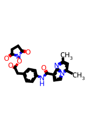 Cc1cc(C)n2ccc(C(=O)Nc3ccc(CC(=O)ON4C(=O)CCC4=O)cc3)c2n1